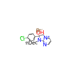 CCCCCCCCCCN1c2nccc[n+]2CC1(O)c1ccc(Cl)cc1.[Br-]